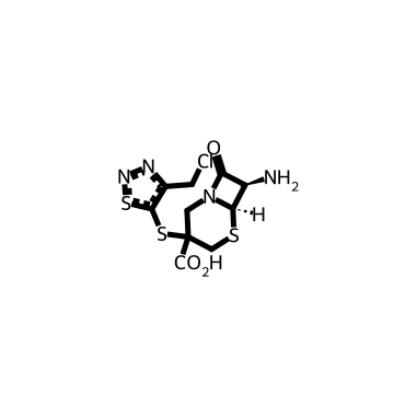 N[C@@H]1C(=O)N2CC(Sc3snnc3CCl)(C(=O)O)CS[C@H]12